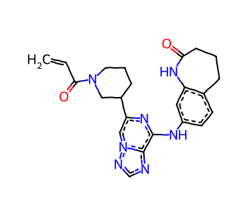 C=CC(=O)N1CCCC(c2cn3ncnc3c(Nc3ccc4c(c3)NC(=O)CCC4)n2)C1